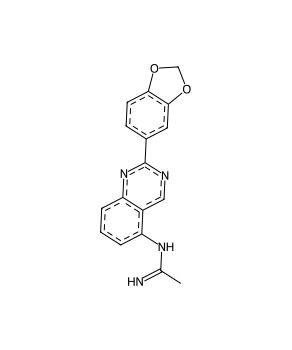 CC(=N)Nc1cccc2nc(-c3ccc4c(c3)OCO4)ncc12